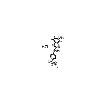 Cc1c(O)c(C)c2sc(NCc3ccc(S(N)(=O)=O)cc3)nc2c1C.Cl